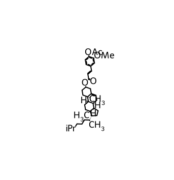 COc1cc(/C=C/C(=O)O[C@H]2CC[C@@]3(C)C(=CC[C@H]4[C@@H]5CC[C@H](C(C)CCCC(C)C)[C@@]5(C)CC[C@@H]43)C2)ccc1OC(C)=O